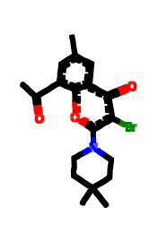 CC(=O)c1cc(C)cc2c(=O)c(Br)c(N3CCC(C)(C)CC3)oc12